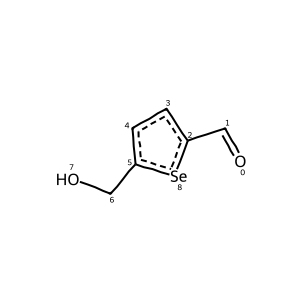 O=Cc1ccc(CO)[se]1